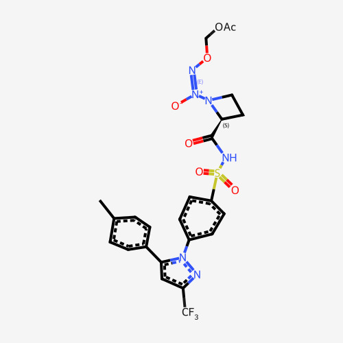 CC(=O)OCO/N=[N+](/[O-])N1CC[C@H]1C(=O)NS(=O)(=O)c1ccc(-n2nc(C(F)(F)F)cc2-c2ccc(C)cc2)cc1